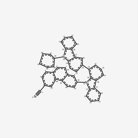 N#Cc1ccc2ccc3cc(-n4c5ccccc5c5cccc(-c6ccc7c(c6)c6ccccc6n7-c6ccccc6)c54)ccc3c2c1